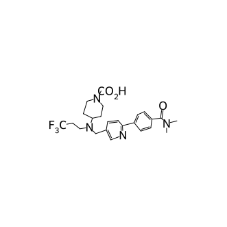 CN(C)C(=O)c1ccc(-c2ccc(CN(CCC(F)(F)F)C3CCN(C(=O)O)CC3)cn2)cc1